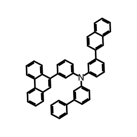 c1ccc(-c2cccc(N(c3cccc(-c4ccc5ccccc5c4)c3)c3cccc(-c4cc5ccccc5c5ccccc45)c3)c2)cc1